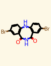 O=C1NC(=O)c2cc(Br)ccc2Nc2ccc(Br)cc21